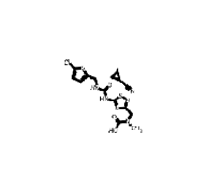 CN(Cc1nsc(NC(=O)NCc2ccc(Cl)s2)n1)C(=O)O.N#CC1CC1